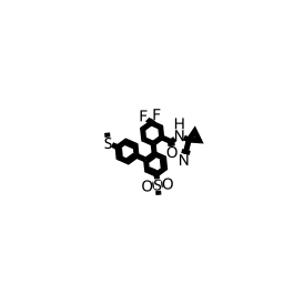 CSc1ccc(-c2cc(S(C)(=O)=O)ccc2C2CCC(F)(F)CC2C(=O)NC2(C#N)CC2)cc1